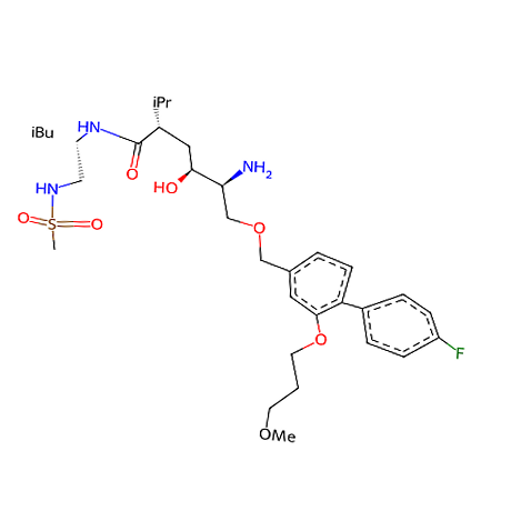 CC[C@H](C)[C@@H](CNS(C)(=O)=O)NC(=O)[C@@H](C[C@H](O)[C@@H](N)COCc1ccc(-c2ccc(F)cc2)c(OCCCOC)c1)C(C)C